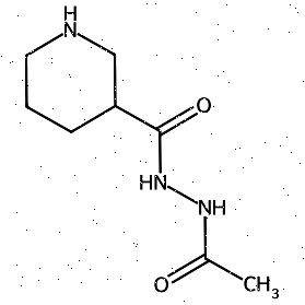 CC(=O)NNC(=O)C1CCCNC1